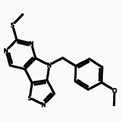 COc1ccc(Cn2c3cnsc3c3cnc(SC)nc32)cc1